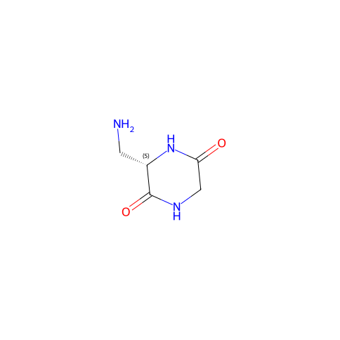 NC[C@@H]1NC(=O)CNC1=O